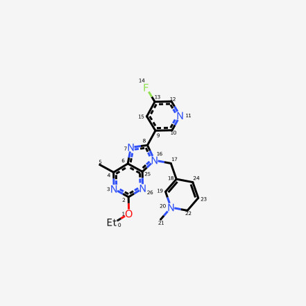 CCOc1nc(C)c2nc(-c3cncc(F)c3)n(CC3=CN(C)CC=C3)c2n1